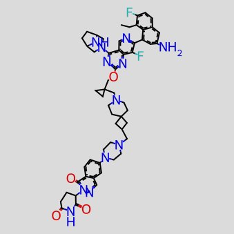 CCc1c(F)ccc2cc(N)cc(-c3ncc4c(N5CC6CCC(C5)N6)nc(OCC5(CN6CCC7(CC6)CC(CN6CCN(c8ccc9c(=O)n(C%10CCC(=O)NC%10=O)ncc9c8)CC6)C7)CC5)nc4c3F)c12